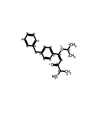 CC(C)OC(=CC(=O)C(C)C)c1ccc(Cc2ccccc2)cc1